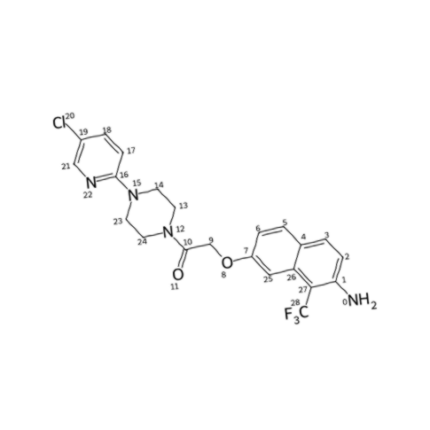 Nc1ccc2ccc(OCC(=O)N3CCN(c4ccc(Cl)cn4)CC3)cc2c1C(F)(F)F